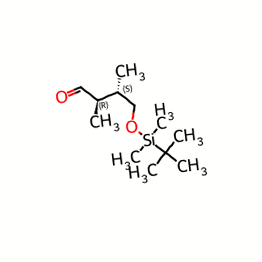 C[C@H](CO[Si](C)(C)C(C)(C)C)[C@@H](C)C=O